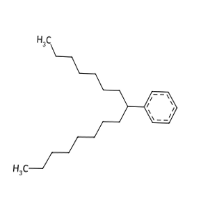 CCCCCCCCC(CCCCCCC)c1ccccc1